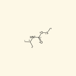 CSOC(=O)NC(C)C